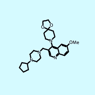 COc1ccc2ncc(CN3CCN(C4CCCC4)CC3)c(N3CCC4(CC3)OCCO4)c2c1